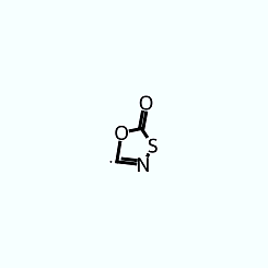 O=c1o[c]ns1